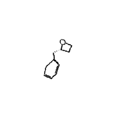 C1=CCC(C[C@H]2CCO2)C=C1